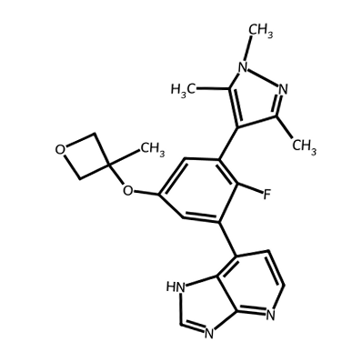 Cc1nn(C)c(C)c1-c1cc(OC2(C)COC2)cc(-c2ccnc3nc[nH]c23)c1F